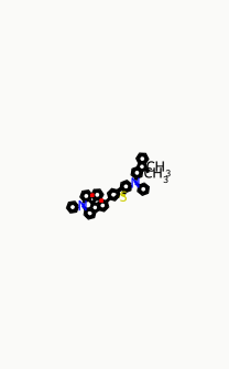 CC1(C)c2ccccc2-c2ccc(N(c3ccccc3)c3ccc4c(c3)sc3cc(-c5ccc6c(c5)C5(c7ccccc7)c7ccccc7N(c7ccccc7)c7cccc-6c75)ccc34)cc21